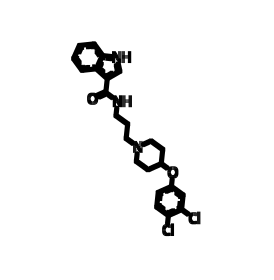 O=C(NCCCN1CCC(Oc2ccc(Cl)c(Cl)c2)CC1)c1c[nH]c2ccccc12